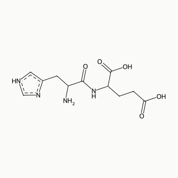 NC(Cc1c[nH]cn1)C(=O)NC(CCC(=O)O)C(=O)O